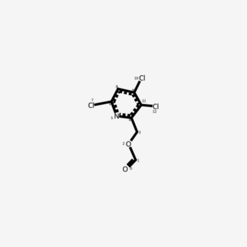 O=COCc1nc(Cl)cc(Cl)c1Cl